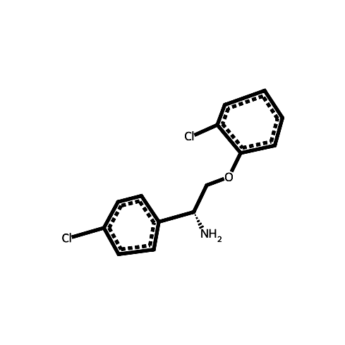 N[C@@H](COc1ccccc1Cl)c1ccc(Cl)cc1